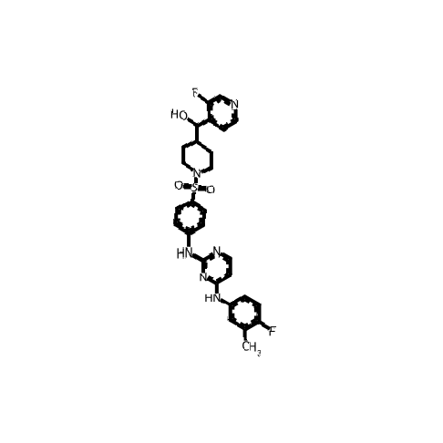 Cc1cc(Nc2ccnc(Nc3ccc(S(=O)(=O)N4CCC(C(O)c5ccncc5F)CC4)cc3)n2)ccc1F